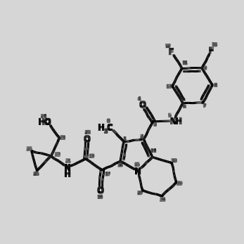 Cc1c(C(=O)Nc2ccc(F)c(F)c2)c2n(c1C(=O)C(=O)NC1(CO)CC1)CCCC2